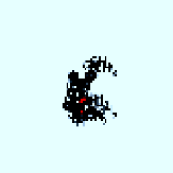 CC(=O)O[C@H]1C(=O)[C@@]2(C)[C@H]([C@H](OC(=O)c3ccccc3)[C@]3(O)C[C@H](OC(=O)[C@H](OC(=O)OC[n+]4cccc(C(=O)N(C)C)c4)[C@@H](NC(=O)c4ccccc4)c4ccccc4)C(C)=C1C3(C)C)[C@]1(OC(C)=O)CO[C@@H]1C[C@@H]2O